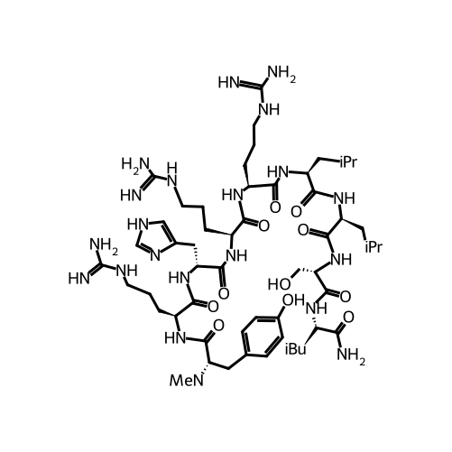 CC[C@H](C)[C@H](NC(=O)[C@H](CO)NC(=O)[C@H](CC(C)C)NC(=O)[C@H](CC(C)C)NC(=O)[C@H](CCCNC(=N)N)NC(=O)[C@H](CCCNC(=N)N)NC(=O)[C@@H](Cc1c[nH]cn1)NC(=O)[C@H](CCCNC(=N)N)NC(=O)[C@H](Cc1ccc(O)cc1)NC)C(N)=O